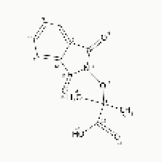 CC(C)(ON1C(=O)c2ccccc2C1=O)C(=O)O